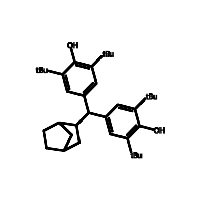 CC(C)(C)c1cc(C(c2cc(C(C)(C)C)c(O)c(C(C)(C)C)c2)C2CC3CCC2C3)cc(C(C)(C)C)c1O